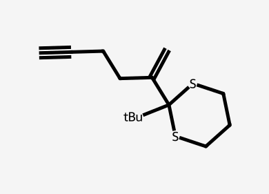 C#CCCC(=C)C1(C(C)(C)C)SCCCS1